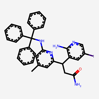 Cc1cc(NC(c2ccccc2)(c2ccccc2)c2ccccc2)nc(C(CC(N)=O)c2cc(I)cnc2N)c1